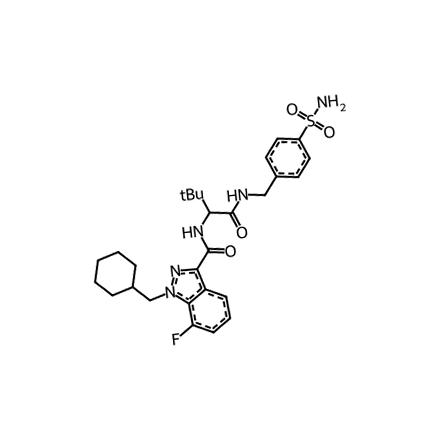 CC(C)(C)C(NC(=O)c1nn(CC2CCCCC2)c2c(F)cccc12)C(=O)NCc1ccc(S(N)(=O)=O)cc1